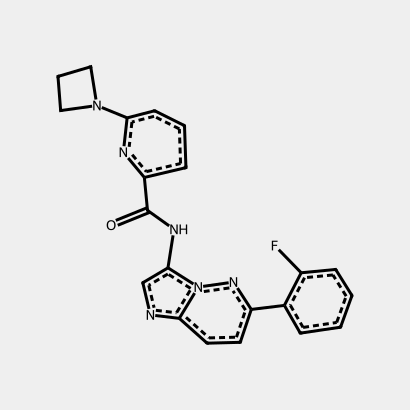 O=C(Nc1cnc2ccc(-c3ccccc3F)nn12)c1cccc(N2CCC2)n1